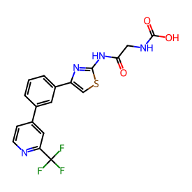 O=C(O)NCC(=O)Nc1nc(-c2cccc(-c3ccnc(C(F)(F)F)c3)c2)cs1